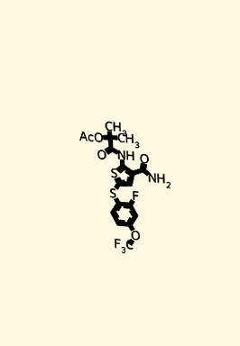 CC(=O)OC(C)(C)C(=O)Nc1sc(Sc2ccc(OC(F)(F)F)cc2F)cc1C(N)=O